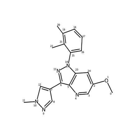 COc1cnc2c(-c3cnn(C)c3)nn(-c3cccc(C)c3C)c2c1